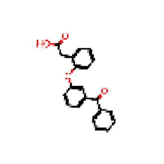 O=C(O)Cc1ccccc1Oc1cccc(C(=O)c2ccccc2)c1